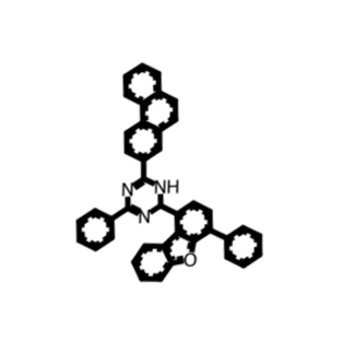 c1ccc(C2=NC(c3ccc(-c4ccccc4)c4oc5ccccc5c34)NC(c3ccc4c(ccc5ccccc54)c3)=N2)cc1